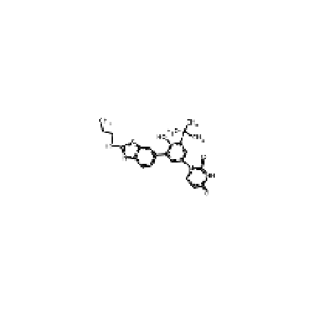 CCCNc1nc2ccc(-c3cc(-n4ccc(=O)[nH]c4=O)cc(C(C)(C)C)c3O)cc2s1